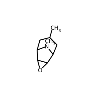 CC1CC2C3OC3C(C1)N2C